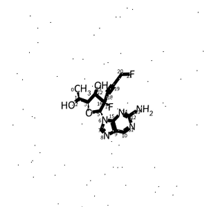 C[C@H](O)[C@H]1O[C@@H](n2cnc3cnc(N)nc32)[C@@](F)(C#CCF)C1O